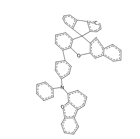 c1ccc(N(c2ccc(-c3cccc4c3Oc3cc5ccccc5cc3C43c4ccccc4-c4ccccc43)cc2)c2cccc3c2oc2ccccc23)cc1